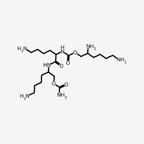 NCCCCC(N)COC(=O)NC(CCCCN)C(=O)NC(CCCCN)COC(N)=O